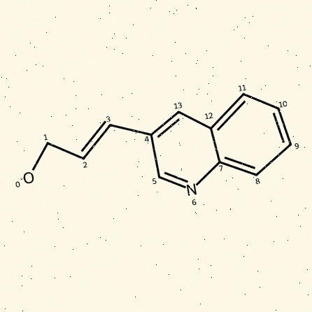 [O]C/C=C/c1cnc2ccccc2c1